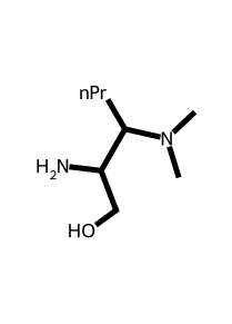 CCCC(C(N)CO)N(C)C